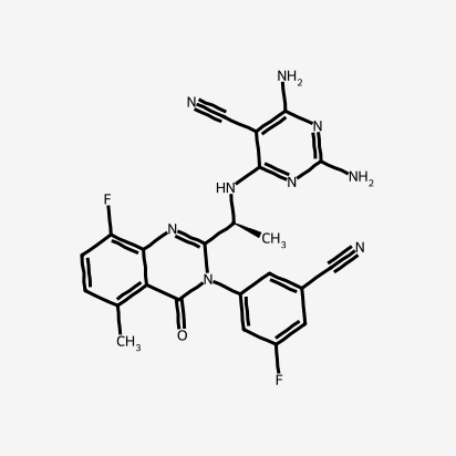 Cc1ccc(F)c2nc([C@H](C)Nc3nc(N)nc(N)c3C#N)n(-c3cc(F)cc(C#N)c3)c(=O)c12